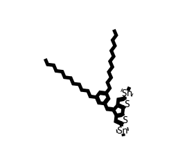 CCCCCCCCCCCCc1cc(C=C2c3c[c]([Sn]([CH3])([CH3])[CH3])sc3-c3s[c]([Sn]([CH3])([CH3])[CH3])cc32)cc(CCCCCCCCCCCC)c1